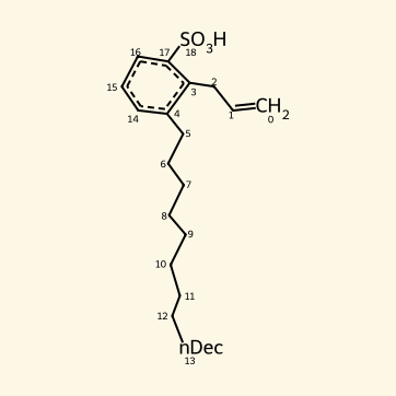 C=CCc1c(CCCCCCCCCCCCCCCCCC)cccc1S(=O)(=O)O